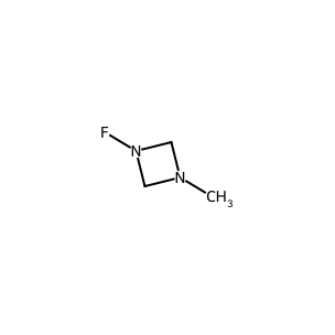 CN1CN(F)C1